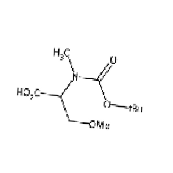 COCC(C(=O)O)N(C)C(=O)OC(C)(C)C